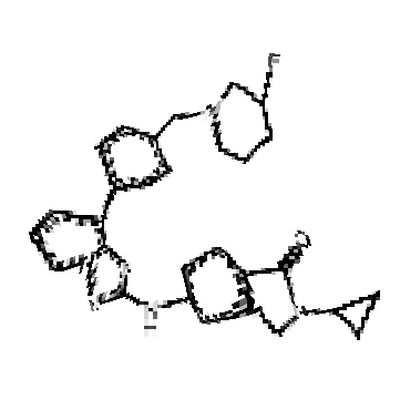 O=C1c2ccc(Nc3nc4c(-c5ccc(CN6CCCC(F)C6)cc5)cccn4n3)cc2CN1C1CC1